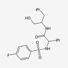 CC(C)CC(CO)NC(=O)C(NS(=O)(=O)c1ccc(F)cc1)C(C)C